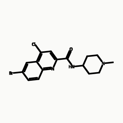 CN1CCC(NC(=O)c2cc(Cl)c3cc(Br)ccc3n2)CC1